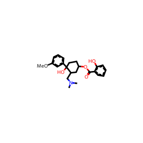 COc1cccc(C2(O)CCC(OC(=O)c3ccccc3O)CC2CN(C)C)c1